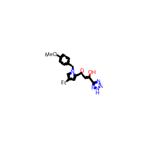 CCc1cc(C(=O)C=C(O)c2nn[nH]n2)n(Cc2ccc(OC)cc2)c1